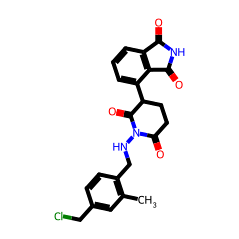 Cc1cc(CCl)ccc1CNN1C(=O)CCC(c2cccc3c2C(=O)NC3=O)C1=O